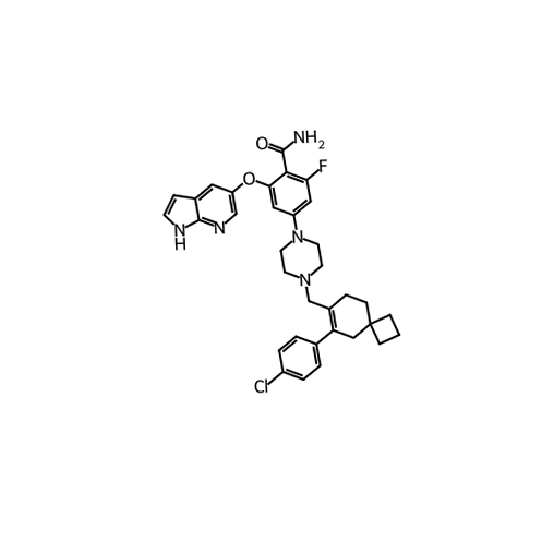 NC(=O)c1c(F)cc(N2CCN(CC3=C(c4ccc(Cl)cc4)CC4(CCC4)CC3)CC2)cc1Oc1cnc2[nH]ccc2c1